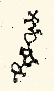 NC1(COC(=O)C(F)(F)F)CCN(c2cnc3c(-c4cccc(Cl)c4Cl)n[nH]c3n2)CC1